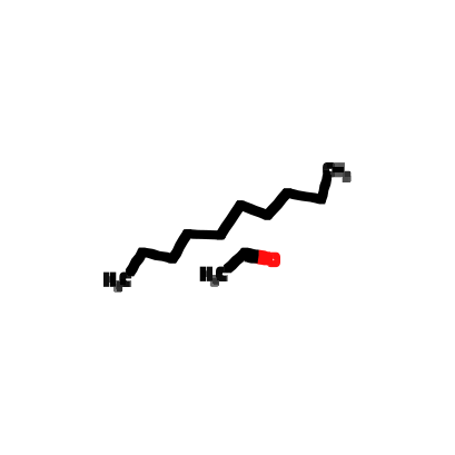 CC=O.CCCCCCCCCC